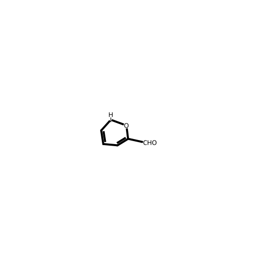 O=CC1=CC=C[IH]O1